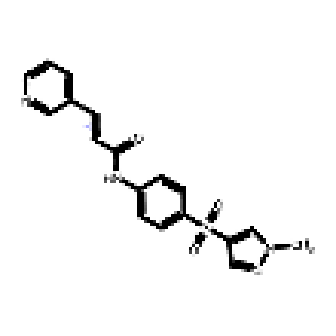 Cn1cc(S(=O)(=O)c2ccc(NC(=O)/C=C/c3cccnc3)cc2)cn1